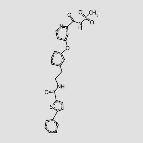 CS(=O)(=O)NC(=O)c1cc(Oc2cccc(CCNC(=O)c3ccc(-c4ccccn4)s3)c2)ccn1